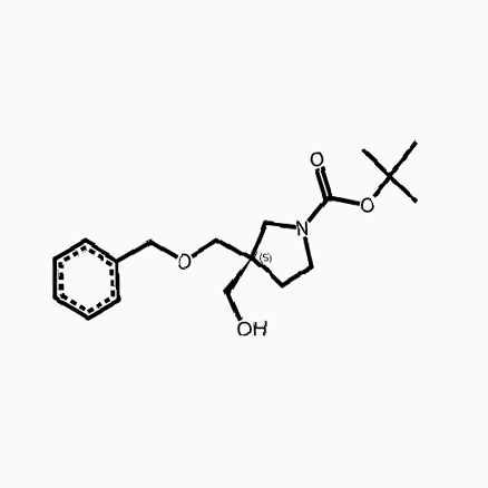 CC(C)(C)OC(=O)N1CC[C@](CO)(COCc2ccccc2)C1